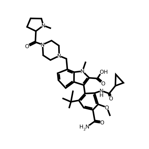 COc1c(C(N)=O)cc(C(C)(C)C)c(-c2c(C(=O)O)n(C)c3c(CN4CCN(C(=O)C5CCCN5C)CC4)cccc23)c1NC(=O)C1CC1